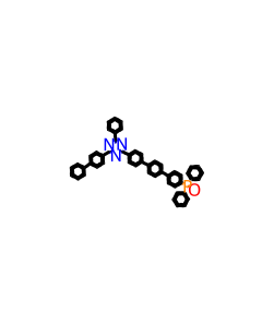 O=P(c1ccccc1)(c1ccccc1)c1ccc(-c2ccc(-c3ccc(-c4nc(-c5ccccc5)nc(-c5ccc(-c6ccccc6)cc5)n4)cc3)cc2)cc1